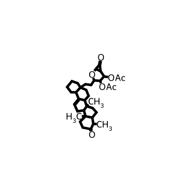 CC(=O)OC1C(CCC23CCCCC2C2=CCC4C(C)(CCC5C(C)C(=O)CCC54C)C2CC3)OC2C(=O)C2C1OC(C)=O